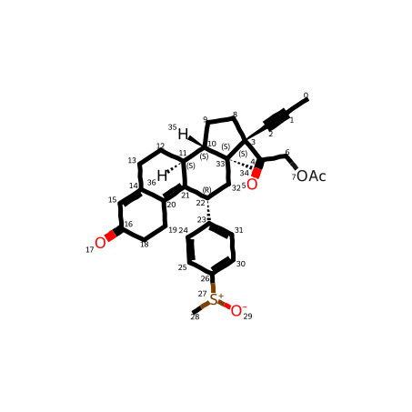 CC#C[C@]1(C(=O)COC(C)=O)CC[C@H]2[C@@H]3CCC4=CC(=O)CCC4=C3[C@@H](c3ccc([S+](C)[O-])cc3)C[C@@]21C